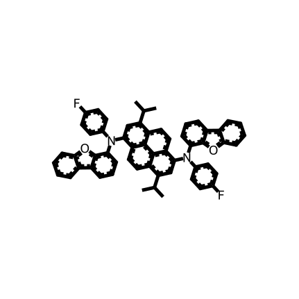 CC(C)c1cc(N(c2ccc(F)cc2)c2cccc3c2oc2ccccc23)c2ccc3c(C(C)C)cc(N(c4ccc(F)cc4)c4cccc5c4oc4ccccc45)c4ccc1c2c34